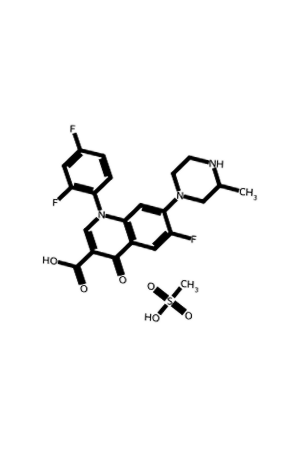 CC1CN(c2cc3c(cc2F)c(=O)c(C(=O)O)cn3-c2ccc(F)cc2F)CCN1.CS(=O)(=O)O